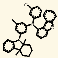 Cc1cc(N(c2cccc(Cl)c2)c2cccc3oc4ccccc4c23)cc(N2c3ccccc3C3(C)CCCCC23C)c1